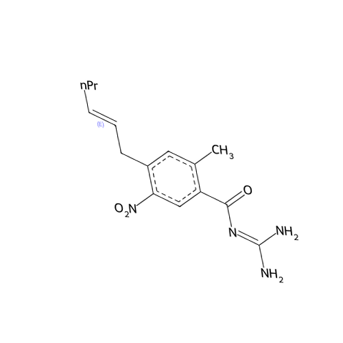 CCC/C=C/Cc1cc(C)c(C(=O)N=C(N)N)cc1[N+](=O)[O-]